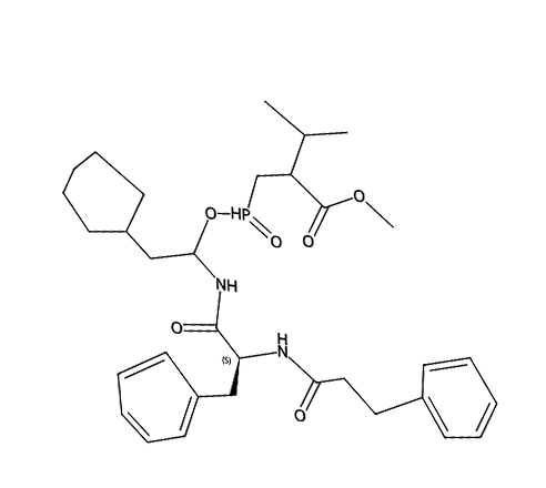 COC(=O)C(C[PH](=O)OC(CC1CCCCC1)NC(=O)[C@H](Cc1ccccc1)NC(=O)CCc1ccccc1)C(C)C